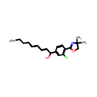 CCCCCCCCCCCCCCCCCC(O)c1ccc(C2=NC(C)(C)CO2)c(Cl)c1